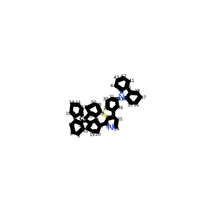 c1ccc([Si](c2ccccc2)(c2ccccc2)c2cccc(-c3nccc4c3sc3ccc(-n5c6ccccc6c6ccccc65)cc34)c2)cc1